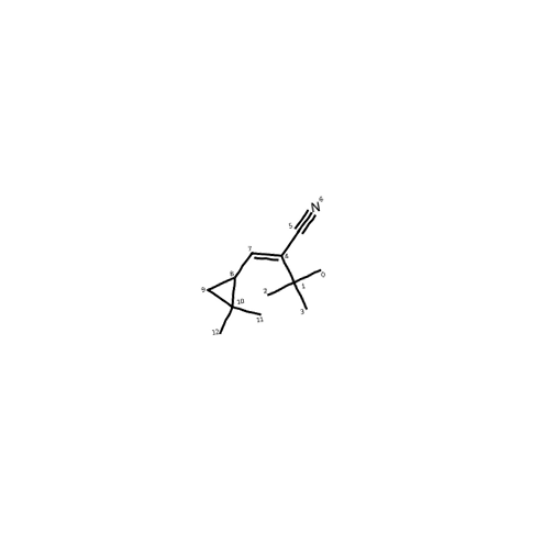 CC(C)(C)/C(C#N)=C\C1CC1(C)C